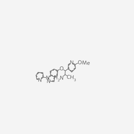 COc1ccc(C(Oc2ccc3c(cnn3-c3ccccn3)c2)C(C)N)cn1